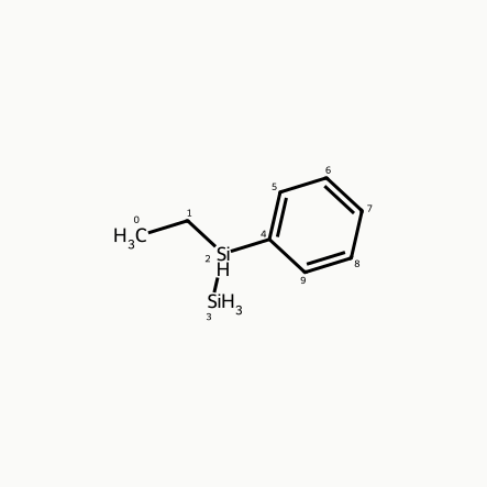 CC[SiH]([SiH3])c1ccccc1